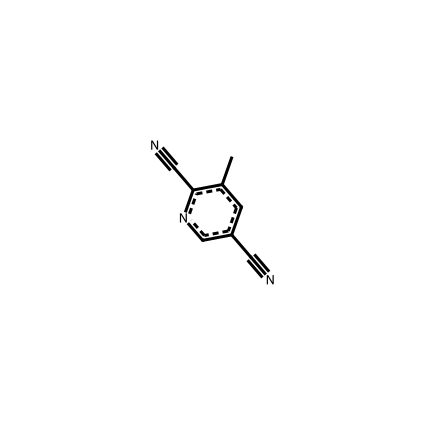 Cc1cc(C#N)cnc1C#N